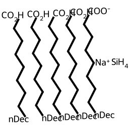 CCCCCCCCCCCCCCCCCC(=O)O.CCCCCCCCCCCCCCCCCC(=O)O.CCCCCCCCCCCCCCCCCC(=O)O.CCCCCCCCCCCCCCCCCC(=O)O.CCCCCCCCCCCCCCCCCC(=O)[O-].[Na+].[SiH4]